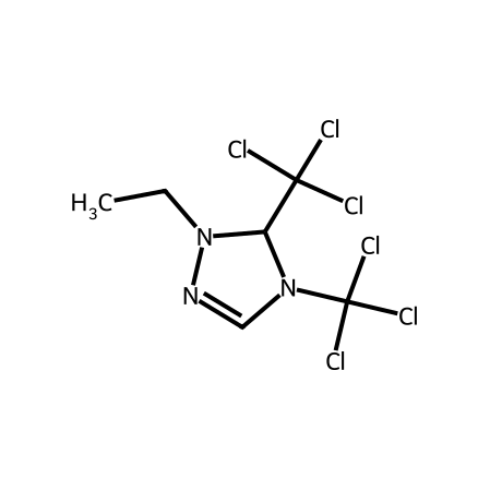 CCN1N=CN(C(Cl)(Cl)Cl)C1C(Cl)(Cl)Cl